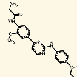 NCC(=O)Nc1ccc(-c2ccnc(Nc3ccc(N4CCOCC4)cc3)n2)cc1OC(F)(F)F